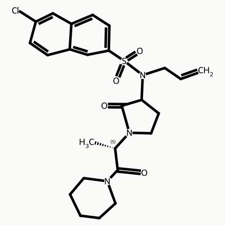 C=CCN(C1CCN([C@@H](C)C(=O)N2CCCCC2)C1=O)S(=O)(=O)c1ccc2cc(Cl)ccc2c1